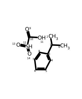 CC(C)c1ccccc1.O=C(O)[SH](=O)=O